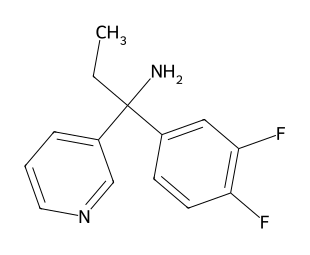 CCC(N)(c1cccnc1)c1ccc(F)c(F)c1